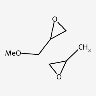 CC1CO1.COCC1CO1